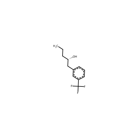 CCC[C@H](O)Cc1cccc(C(F)(F)F)c1